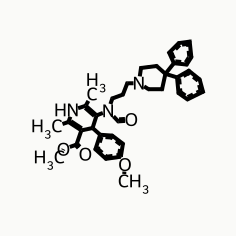 COC(=O)C1=C(C)NC(C)=C(N(C=O)CCCN2CCC(c3ccccc3)(c3ccccc3)CC2)C1c1ccc(OC)cc1